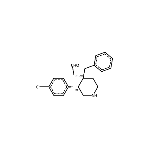 O=CC[C@]1(Cc2ccccc2)CCNC[C@@H]1c1ccc(Cl)cc1